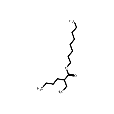 CCCCCCCCOC(=O)C(CC)CCCC